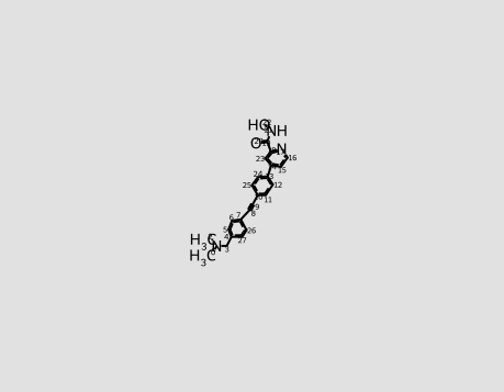 CN(C)Cc1ccc(C#Cc2ccc(-c3ccnc(C(=O)NO)c3)cc2)cc1